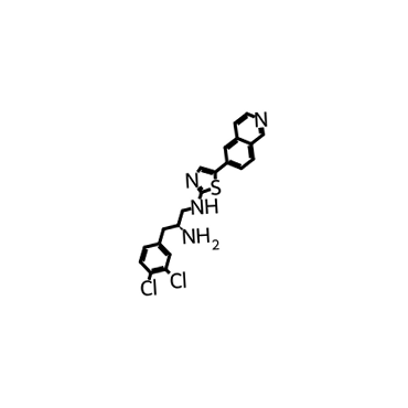 N[C@@H](CNc1ncc(-c2ccc3cnccc3c2)s1)Cc1ccc(Cl)c(Cl)c1